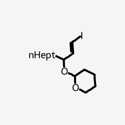 CCCCCCCC(/C=C/I)OC1CCCCO1